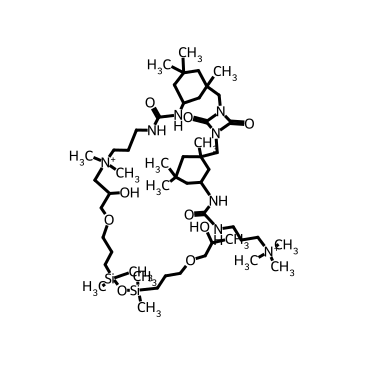 CC(O)COCCC[Si](C)(C)O[Si](C)(C)CCCOCC(O)C[N+](C)(C)CCCNC(=O)NC1CC(C)(C)CC(C)(CN2C(=O)N(CC3(C)CC(NC(=O)NCCC[N+](C)(C)C)CC(C)(C)C3)C2=O)C1